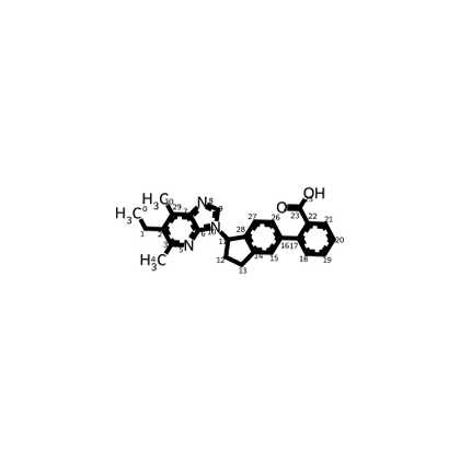 CCc1c(C)nc2c(ncn2C2CCc3cc(-c4ccccc4C(=O)O)ccc32)c1C